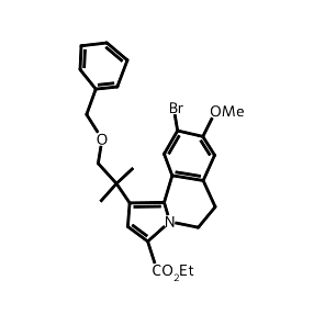 CCOC(=O)c1cc(C(C)(C)COCc2ccccc2)c2n1CCc1cc(OC)c(Br)cc1-2